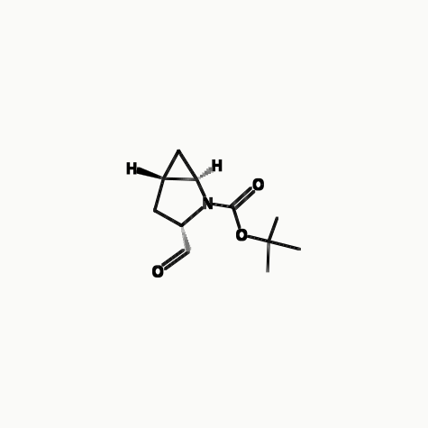 CC(C)(C)OC(=O)N1[C@H](C=O)C[C@@H]2C[C@H]21